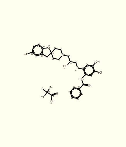 O=C(Nc1cc(Cl)c(O)cc1OC[C@@H](O)CN1CCC2(CC1)Cc1cc(F)ccc1O2)c1ccccc1.O=C(O)C(F)(F)F